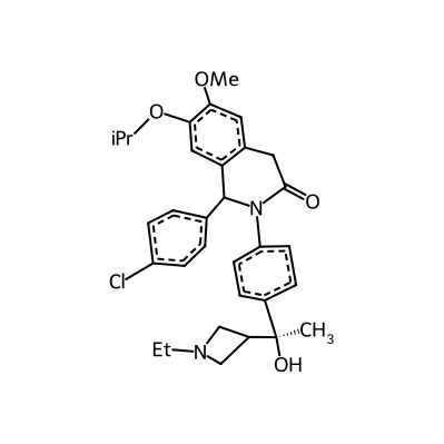 CCN1CC([C@](C)(O)c2ccc(N3C(=O)Cc4cc(OC)c(OC(C)C)cc4C3c3ccc(Cl)cc3)cc2)C1